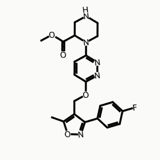 COC(=O)C1CNCCN1c1ccc(OCc2c(-c3ccc(F)cc3)noc2C)nn1